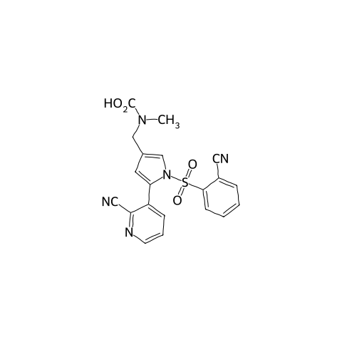 CN(Cc1cc(-c2cccnc2C#N)n(S(=O)(=O)c2ccccc2C#N)c1)C(=O)O